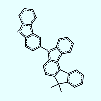 CC1(C)c2ccccc2-c2c1ccc1c2c2ccccc2n1-c1ccc2oc3ccccc3c2c1